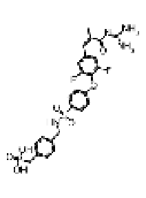 CC(=Cc1cc(F)c(Oc2ccc(S(=O)(=O)NCc3ccc(CP(=O)(O)O)cc3)cc2)c(F)c1)C(=O)N=C(N)N